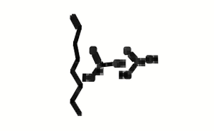 C=CCCCCCC.O=[PH](O)O.O=[PH](O)O